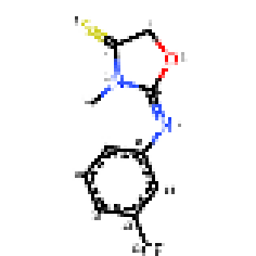 CN1C(=S)CO/C1=N/c1cccc(C(F)(F)F)c1